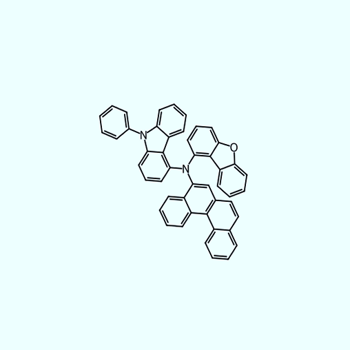 c1ccc(-n2c3ccccc3c3c(N(c4cc5ccc6ccccc6c5c5ccccc45)c4cccc5oc6ccccc6c45)cccc32)cc1